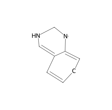 C1=CC2=CNC[N]C2=CC1